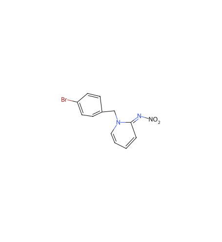 O=[N+]([O-])/N=c1\ccccn1Cc1ccc(Br)cc1